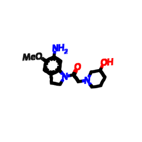 COc1cc2c(cc1N)N(C(=O)CN1CCCC(O)C1)CC2